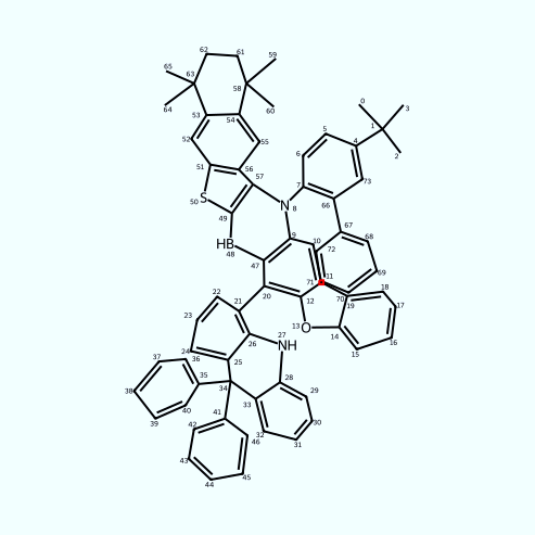 CC(C)(C)c1ccc(N2c3cc4c(oc5ccccc54)c(-c4cccc5c4Nc4ccccc4C5(c4ccccc4)c4ccccc4)c3Bc3sc4cc5c(cc4c32)C(C)(C)CCC5(C)C)c(-c2ccccc2)c1